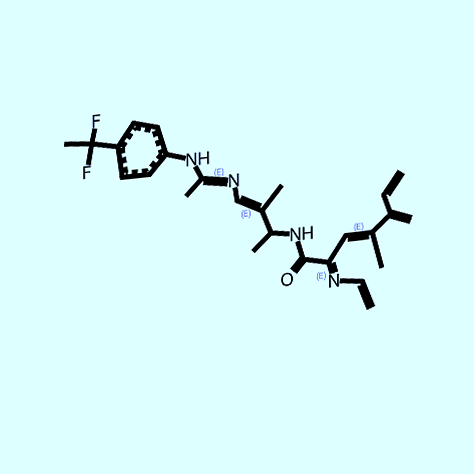 C=C/N=C(\C=C(/C)C(=C)C=C)C(=O)NC(C)/C(C)=C/N=C(\C)Nc1ccc(C(C)(F)F)cc1